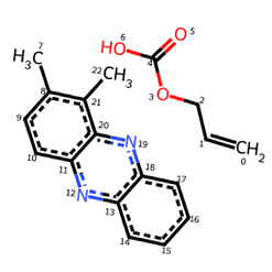 C=CCOC(=O)O.Cc1ccc2nc3ccccc3nc2c1C